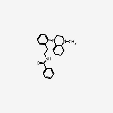 CN1CCN(c2ccccc2CCNC(=O)c2ccccc2)C2=CCCCC21